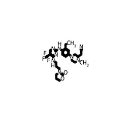 CCc1cc(N2CCN(C)C(CC#N)C2)ccc1Nc1ncc(C(F)(F)F)c(NCCCN2CCCOC2=O)n1